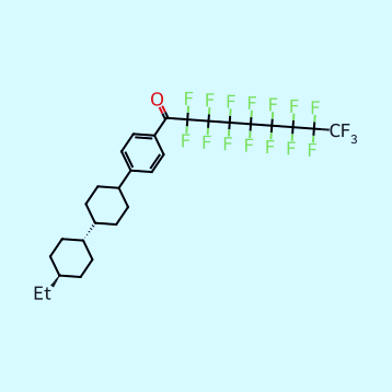 CC[C@H]1CC[C@H](C2CCC(c3ccc(C(=O)C(F)(F)C(F)(F)C(F)(F)C(F)(F)C(F)(F)C(F)(F)C(F)(F)C(F)(F)F)cc3)CC2)CC1